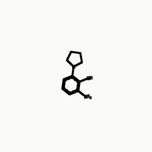 Nc1cccc(N2CCCC2)c1O